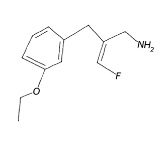 CCOc1cccc(CC(=CF)CN)c1